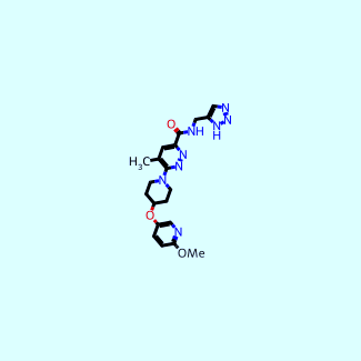 COc1ccc(OC2CCN(c3nnc(C(=O)NCc4cnn[nH]4)cc3C)CC2)cn1